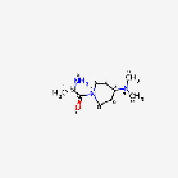 C[C@H](N)C(=O)N1CCC(N(C)C)CC1